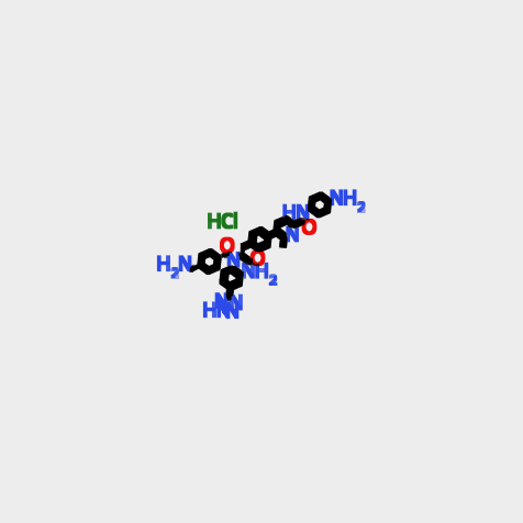 Cc1nc(C(=O)N[C@H]2CC[C@H](N)CC2)ccc1-c1ccc(C[C@@H](C(N)=O)N(c2ccc(-c3nn[nH]n3)cc2)C(=O)[C@H]2CC[C@H](CN)CC2)cc1.Cl